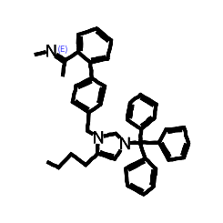 CCCCC1=CN(C(c2ccccc2)(c2ccccc2)c2ccccc2)CN1Cc1ccc(-c2ccccc2/C(C)=N/C)cc1